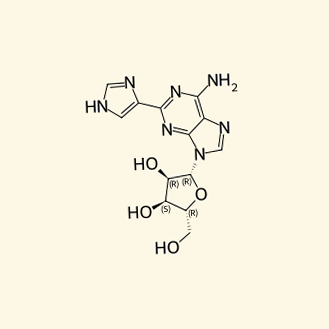 Nc1nc(-c2c[nH]cn2)nc2c1ncn2[C@@H]1O[C@H](CO)[C@@H](O)[C@H]1O